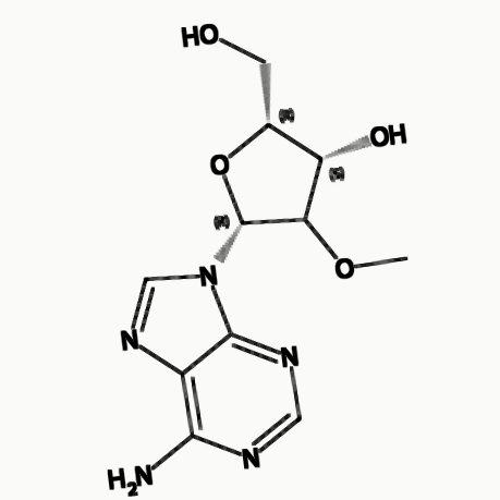 COC1[C@@H](O)[C@@H](CO)O[C@H]1n1cnc2c(N)ncnc21